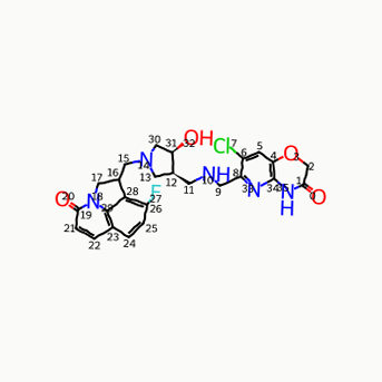 O=C1COc2cc(Cl)c(CNC[C@H]3CN(CC4Cn5c(=O)ccc6ccc(F)c4c65)C[C@H]3O)nc2N1